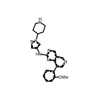 COc1ccccc1-c1cncc2cnc(Nc3cnn(C4CCNCC4)c3)nc12